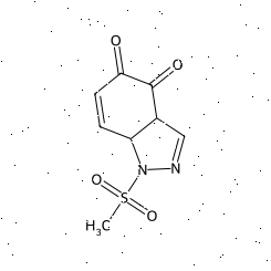 CS(=O)(=O)N1N=CC2C(=O)C(=O)C=CC21